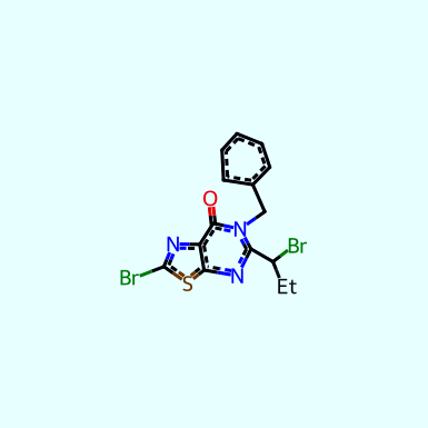 CCC(Br)c1nc2sc(Br)nc2c(=O)n1Cc1ccccc1